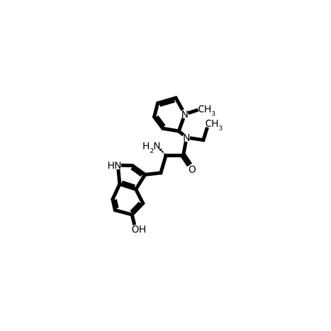 CCN(C(=O)[C@@H](N)Cc1c[nH]c2ccc(O)cc12)C1C=CC=CN1C